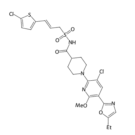 CCc1cnc(-c2cc(Cl)c(N3CCC(C(=O)NS(=O)(=O)CC=Cc4ccc(Cl)s4)CC3)nc2OC)o1